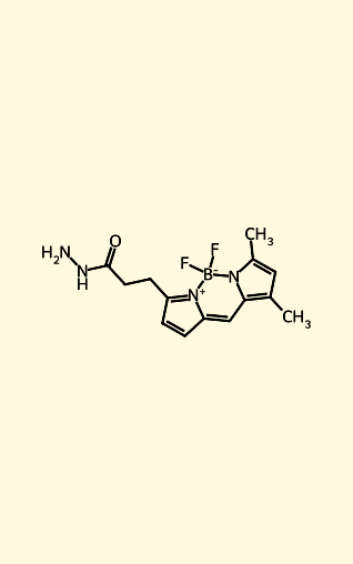 Cc1cc(C)n2c1C=C1C=CC(CCC(=O)NN)=[N+]1[B-]2(F)F